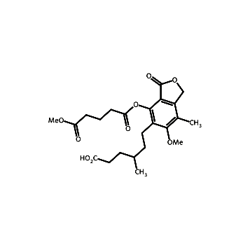 COC(=O)CCCC(=O)Oc1c(CCC(C)CCC(=O)O)c(OC)c(C)c2c1C(=O)OC2